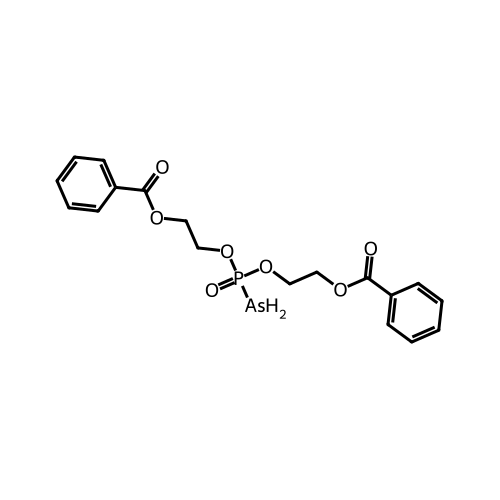 O=C(OCCOP(=O)([AsH2])OCCOC(=O)c1ccccc1)c1ccccc1